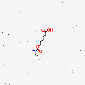 CCN(C)C(=O)OCCCCCC(=O)O